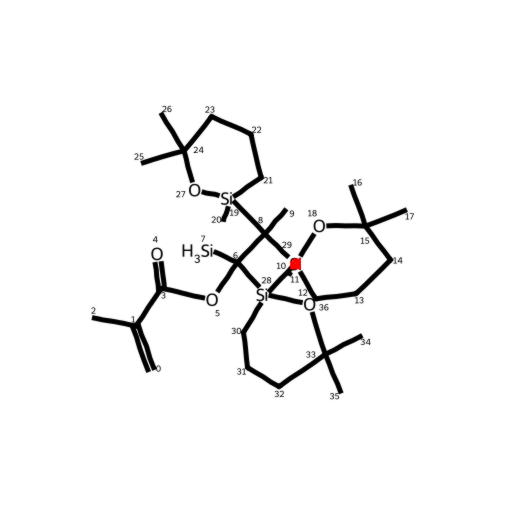 C=C(C)C(=O)OC([SiH3])(C(C)([Si]1(C)CCCC(C)(C)O1)[Si]1(C)CCCC(C)(C)O1)[Si]1(C)CCCC(C)(C)O1